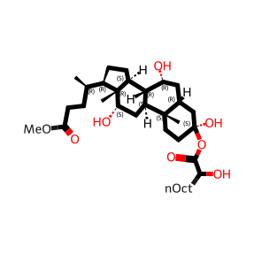 CCCCCCCCC(O)C(=O)O[C@@]1(O)CC[C@@]2(C)[C@H](C[C@@H](O)[C@@H]3[C@@H]2C[C@H](O)[C@]2(C)[C@@H]([C@H](C)CCC(=O)OC)CC[C@@H]32)C1